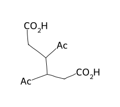 CC(=O)C(CC(=O)O)C(CC(=O)O)C(C)=O